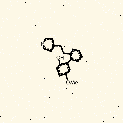 COc1ccc(O)c(-c2ccccc2CCc2ccncc2)c1